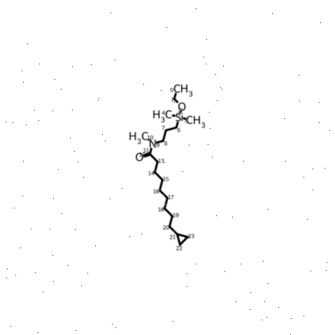 CCO[Si](C)(C)CCCN(C)C(=O)CCCCCCCCC1CC1